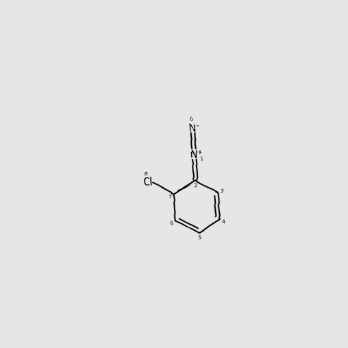 [N-]=[N+]=C1C=CC=CC1Cl